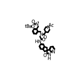 CC(=O)N1CCC(C(=O)N(CC(=O)Nc2ccc3c(c2)CC2(C3)C(=O)Nc3ncccc32)Cc2ccccc2CN(C)C(=O)OC(C)(C)C)CC1